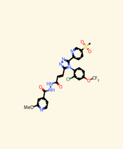 COc1cc(C(=O)NNC(=O)C=Cc2nnc(-c3ccc(S(C)(=O)=O)cn3)n2-c2ccc(OC(F)(F)F)cc2Cl)ccn1